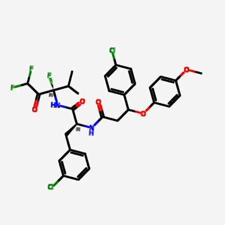 COc1ccc(OC(CC(=O)N[C@@H](Cc2cccc(Cl)c2)C(=O)N[C@@](F)(C(=O)C(F)F)C(C)C)c2ccc(Cl)cc2)cc1